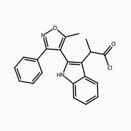 Cc1onc(-c2ccccc2)c1-c1[nH]c2ccccc2c1C(C)C(=O)Cl